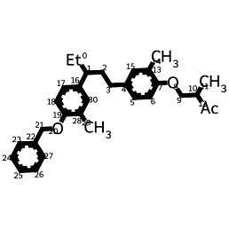 CCC(CCc1ccc(OCC(C)C(C)=O)c(C)c1)c1ccc(OCc2ccccc2)c(C)c1